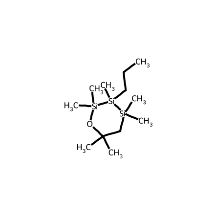 CCC[Si]1(C)[Si](C)(C)CC(C)(C)O[Si]1(C)C